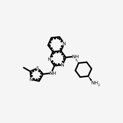 Cc1ncc(Nc2nc(N[C@H]3CC[C@H](N)CC3)c3ncccc3n2)s1